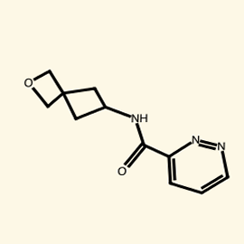 O=C(NC1CC2(COC2)C1)c1cccnn1